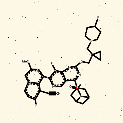 C#Cc1c(F)ccc2cc(OC)cc(-c3ncc4c(N5CC6CC(C5)N6C(=O)C(F)(F)F)nc(OCC5(CN6CCC(F)CC6)CC5)nc4c3F)c12